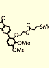 COc1ccc(-c2ccc3c(c2)CCC3=O)c(OCCOC(=O)CCSC)c1OC